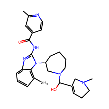 Cc1cc(C(=O)Nc2nc3cccc([SiH3])c3n2[C@@H]2CCCCN(C(O)C3=CCCN(C)C3)C2)ccn1